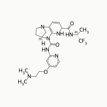 C[C@@H](NC(=O)C1C=CC2=C(N1)N(C(=O)Nc1cc(OCCN(C)C)ccn1)[C@H]1CCN2C1)C(F)(F)F